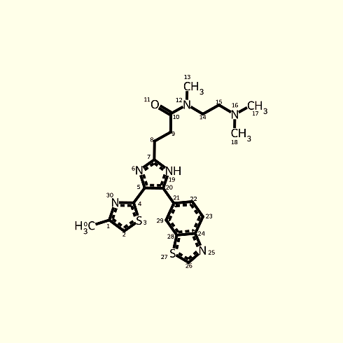 Cc1csc(-c2nc(CCC(=O)N(C)CCN(C)C)[nH]c2-c2ccc3ncsc3c2)n1